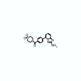 Nc1nc2cccc(-c3ccc(C(=O)N4CCS(=O)(=O)CC4)cc3)n2n1